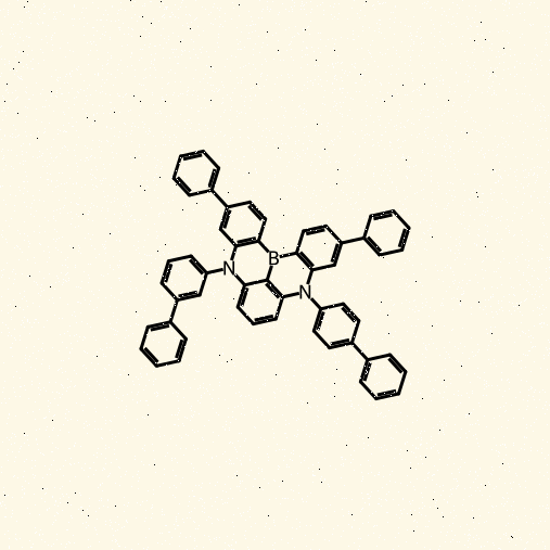 c1ccc(-c2ccc(N3c4cc(-c5ccccc5)ccc4B4c5ccc(-c6ccccc6)cc5N(c5cccc(-c6ccccc6)c5)c5cccc3c54)cc2)cc1